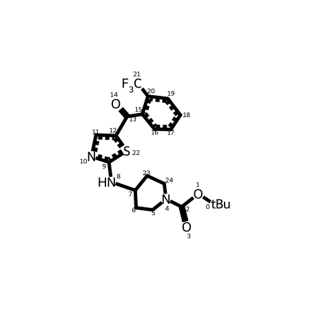 CC(C)(C)OC(=O)N1CCC(Nc2ncc(C(=O)c3ccccc3C(F)(F)F)s2)CC1